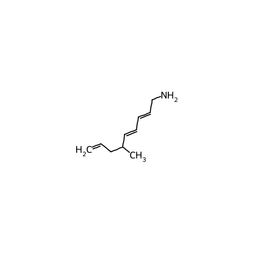 C=CCC(C)C=CC=CCN